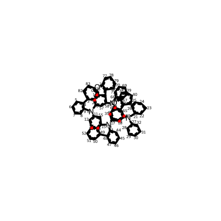 c1ccc(-c2ccccc2N(c2cccc(N(c3cc(N(c4ccccc4)c4ccccc4)c4c(c3)oc3ccccc34)c3ccccc3-c3ccccc3)c2)c2cc(N(c3ccccc3)c3ccccc3)c3c(c2)oc2ccccc23)cc1